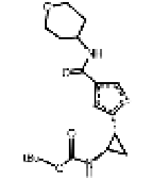 CC(C)(C)OC(=O)N[C@@H]1C[C@H]1c1cc(C(=O)NC2CCOCC2)cs1